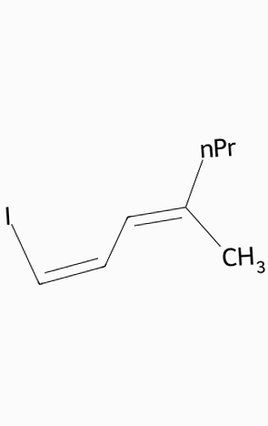 CCC/C(C)=C/C=C\I